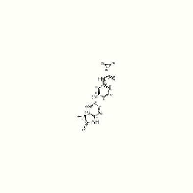 Cn1c(=S)[nH]c2ncc(Oc3ccnc(NC(=O)C4CC4)c3)cc21